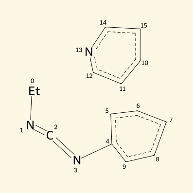 CCN=C=Nc1ccccc1.c1ccncc1